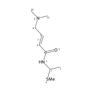 CSC(C)NC(=O)/C=C/CN(C)C